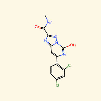 CNC(=O)c1nc2cc(-c3ccc(Cl)cc3Cl)nc(O)n2n1